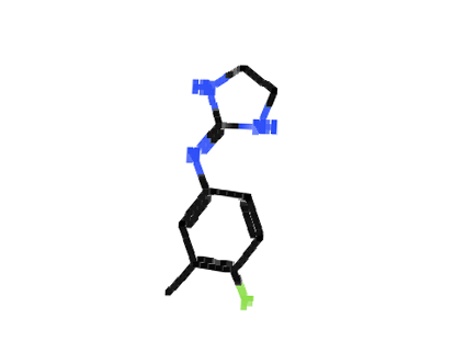 Cc1cc(N=C2NCCN2)ccc1F